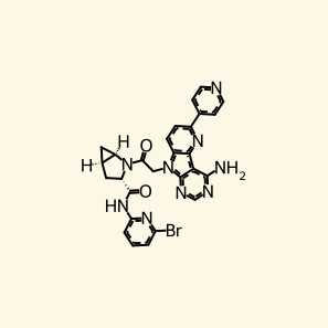 Nc1ncnc2c1c1nc(-c3ccncc3)ccc1n2CC(=O)N1[C@@H]2C[C@@H]2C[C@H]1C(=O)Nc1cccc(Br)n1